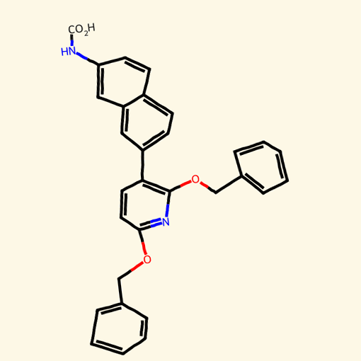 O=C(O)Nc1ccc2ccc(-c3ccc(OCc4ccccc4)nc3OCc3ccccc3)cc2c1